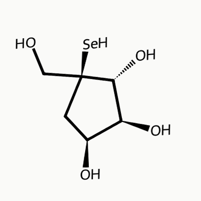 OC[C@@]1([SeH])C[C@H](O)[C@H](O)[C@H]1O